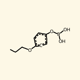 CCCOc1ccc(OB(O)O)cc1